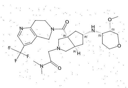 CO[C@@H]1COCC[C@@H]1N[C@@H]1C[C@H]2CN(CC(=O)N(C)C)C[C@@]2(C(=O)N2CCc3ncc(C(F)(F)F)cc3C2)C1